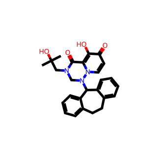 CC(C)(O)CN1CN(C2c3ccccc3CCc3ccccc32)n2ccc(=O)c(O)c2C1=O